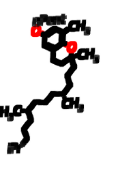 CCCCCOc1cc(C)c2c(c1)CC[C@@](C)(CCC[C@H](C)CCC[C@H](C)CCCC(C)C)O2